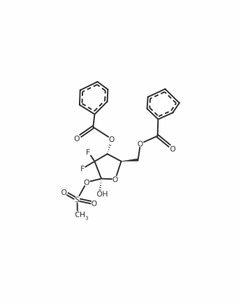 CS(=O)(=O)O[C@]1(O)O[C@H](COC(=O)c2ccccc2)[C@@H](OC(=O)c2ccccc2)C1(F)F